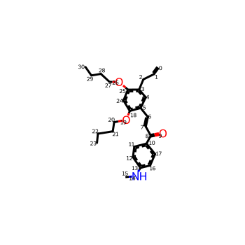 C=CCc1cc(C=CC(=O)c2ccc(NC)cc2)c(OCCCC)cc1OCCCC